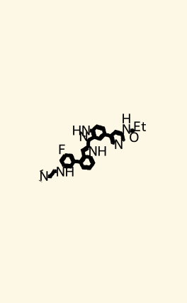 CCC(=O)Nc1cncc(-c2ccc3[nH]nc(-c4cc5c(-c6cc(F)cc(NCCN(C)C)c6)cccc5[nH]4)c3c2)c1